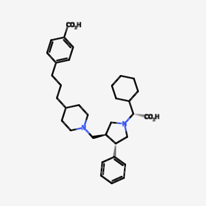 O=C(O)c1ccc(CCCC2CCN(C[C@H]3CN([C@@H](C(=O)O)C4CCCCC4)C[C@@H]3c3ccccc3)CC2)cc1